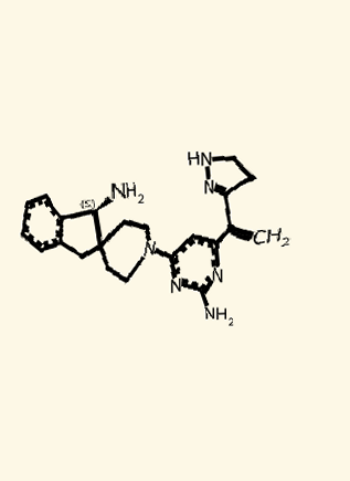 C=C(C1=NNCC1)c1cc(N2CCC3(CC2)Cc2ccccc2[C@H]3N)nc(N)n1